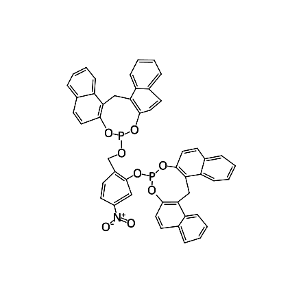 O=[N+]([O-])c1ccc(COP2Oc3ccc4ccccc4c3Cc3c(ccc4ccccc34)O2)c(OP2Oc3ccc4ccccc4c3Cc3c(ccc4ccccc34)O2)c1